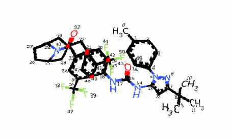 Cc1ccc(-n2nc(C(C)(C)C)cc2NC(=O)Nc2ccc(CC3CC4CCC(C3)N4C(=O)c3cc(C(F)(F)F)cc(C(F)(F)F)c3)cc2)cc1